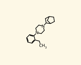 CCc1ccccc1N1CCN(C2CC3CCC2C3)CC1